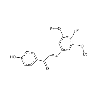 CCCc1c(OCC)cc(C=CC(=O)c2ccc(O)cc2)cc1OCC